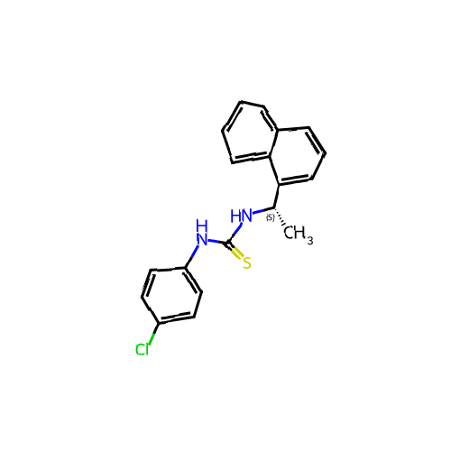 C[C@H](NC(=S)Nc1ccc(Cl)cc1)c1cccc2ccccc12